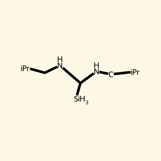 CC(C)CNC([SiH3])NCC(C)C